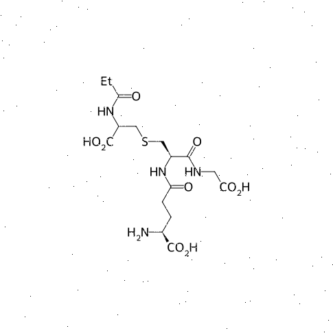 CCC(=O)NC(CSC[C@H](NC(=O)CC[C@H](N)C(=O)O)C(=O)NCC(=O)O)C(=O)O